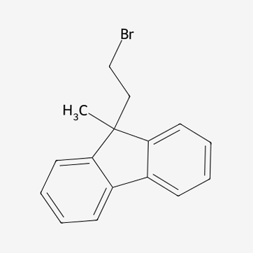 CC1(CCBr)c2ccccc2-c2ccccc21